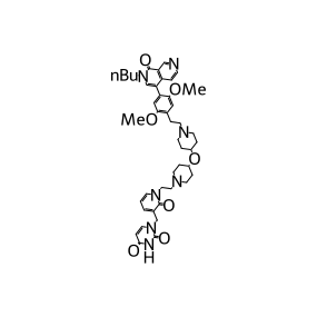 CCCCn1cc(-c2cc(OC)c(CCN3CCC(OC4CCN(CCn5cccc(Cn6ccc(=O)[nH]c6=O)c5=O)CC4)CC3)cc2OC)c2ccncc2c1=O